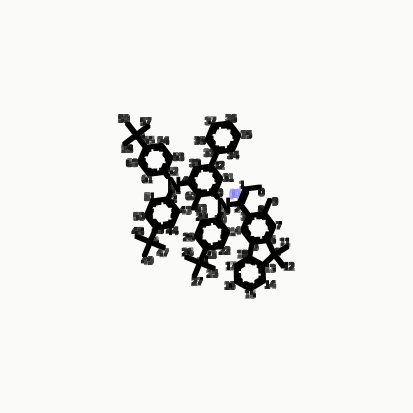 C/C=C(\c1cc2c(cc1C)C(C)(C)c1ccccc1-2)N(c1ccc(C(C)(C)C)cc1)c1cc(-c2ccccc2)cc(N(c2ccc(C(C)(C)C)cc2)c2ccc(C(C)(C)C)cc2)c1C